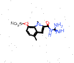 Cc1ccc(OS(=O)(=O)O)c2c1cc(C(=O)NC(=N)N)n2C